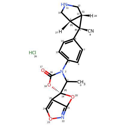 CC1N(c2ccc([C@]3(C#N)[C@@H]4CNC[C@@H]43)cc2)C(=O)O[C@@]12Oc1nocc12.Cl